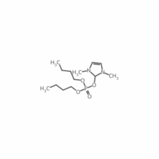 CCCCOP(=O)(OCCCC)OC1N(C)C=CN1C